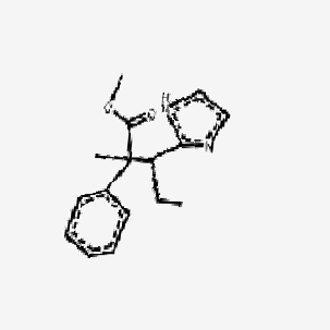 CCC(c1ncc[nH]1)C(C)(C(=O)OC)c1ccccc1